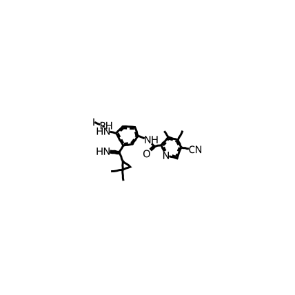 Cc1c(C#N)cnc(C(=O)Nc2ccc(NPI)c(C(=N)C3CC3(C)C)c2)c1C